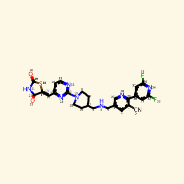 N#Cc1cc(CNCC2CCN(c3nccc(/C=C4\SC(=O)NC4=O)n3)CC2)cnc1-c1cc(F)nc(F)c1